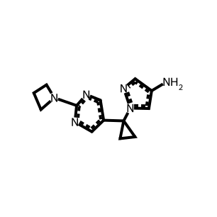 Nc1cnn(C2(c3cnc(N4CCC4)nc3)CC2)c1